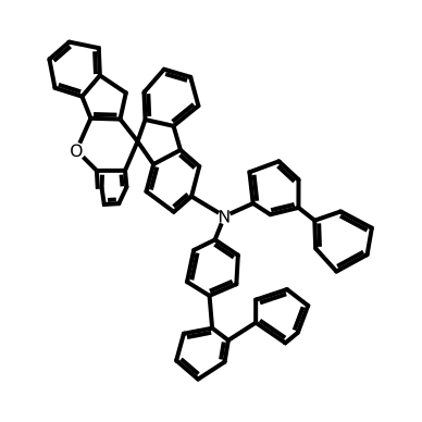 c1ccc(-c2cccc(N(c3ccc(-c4ccccc4-c4ccccc4)cc3)c3ccc4c(c3)-c3ccccc3C43C4=C(Oc5ccccc53)c3ccccc3C4)c2)cc1